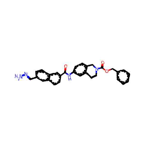 NN=Cc1ccc2cc(C(=O)Nc3ccc4c(c3)CCN(C(=O)OCc3ccccc3)C4)ccc2c1